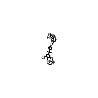 CC(C)(c1ccc(OCc2ccnc(NS(C)(=O)=O)n2)cc1)c1cc(Cl)c(CN2CCCC(F)(F)C2)c(Cl)c1